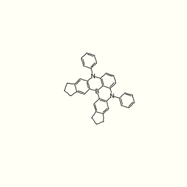 c1ccc(N2c3cc4c(cc3B3c5cc6c(cc5N(c5ccccc5)c5cccc2c53)CCC6)CCC4)cc1